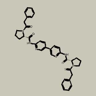 O=C(Nc1ccc(-c2ccc(NC(=O)[C@@H]3CCCN3C(=O)Cc3ccccc3)nc2)cn1)[C@@H]1CCCN1C(=O)Cc1ccccc1